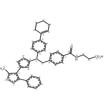 Cc1onc(-c2ccccc2)c1-c1csc(N(Cc2ccc(C(=O)NCCC(=O)O)cc2)c2ccc(C3=CCCCC3)cc2)n1